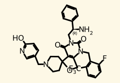 N[C@@H](Cn1c(=O)c2c(n(Cc3c(F)cccc3C(F)(F)F)c1=O)COC21CCN(Cc2ccc(O)nc2)CC1)c1ccccc1